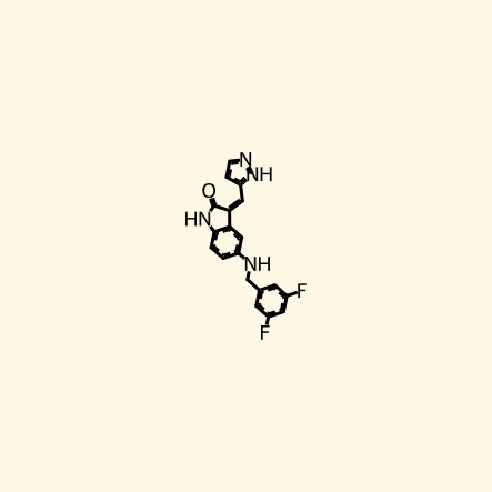 O=C1Nc2ccc(NCc3cc(F)cc(F)c3)cc2/C1=C/c1ccn[nH]1